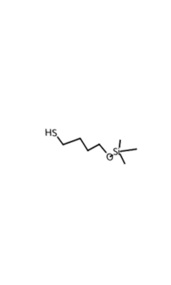 C[Si](C)(C)OCCCCS